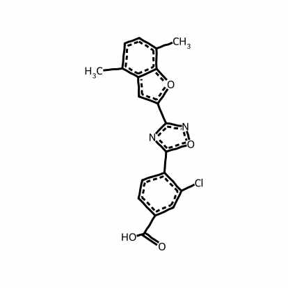 Cc1ccc(C)c2oc(-c3noc(-c4ccc(C(=O)O)cc4Cl)n3)cc12